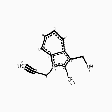 C#CCn1c(C(F)(F)F)c(CO)c2ccccc21